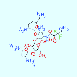 NC[C@@H]1CC[C@@H](N)[C@@H](O[C@H]2[C@H](O[C@@H]3O[C@H](CO)[C@@H](O[C@H]4O[C@@H](CN)CC[C@H]4N)[C@H]3O)[C@@H](O)[C@H](NC(=O)[C@H](O)C(F)(F)CN)C[C@@H]2N)O1